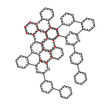 c1ccc(-c2ccc(-c3nc(-c4ccccc4-c4cccc(-c5ccc6c(c5)c5ccccc5c5cc(-c7ccccc7-c7nc(-c8ccccc8)nc(-c8cccc(-c9ccccc9)c8)n7)c7ccccc7c65)c4)nc(-c4cc5c6ccccc6c6ccccc6c5c5ccccc45)n3)cc2)cc1